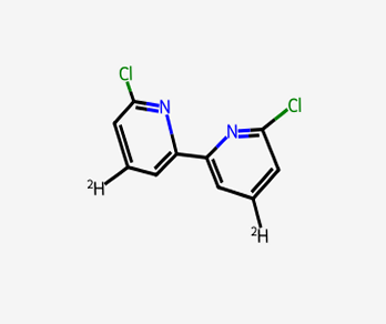 [2H]c1cc(Cl)nc(-c2cc([2H])cc(Cl)n2)c1